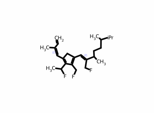 C=C/C(C)=C\C1=C(C(C)F)C(CF)=C(/C=C(\CF)C(C)CCC(C)C(C)C)C1